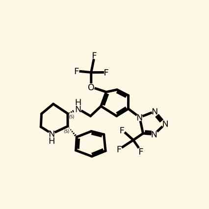 FC(F)(F)Oc1ccc(-n2nnnc2C(F)(F)F)cc1CN[C@H]1CCCN[C@H]1c1ccccc1